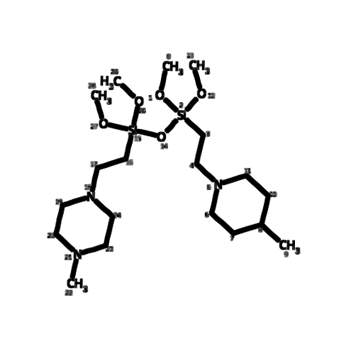 CO[Si](CCN1CCC(C)CC1)(OC)O[Si](CCN1CCN(C)CC1)(OC)OC